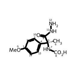 COc1ccc([C@](C)(NC(=O)O)C(=O)NN)cc1